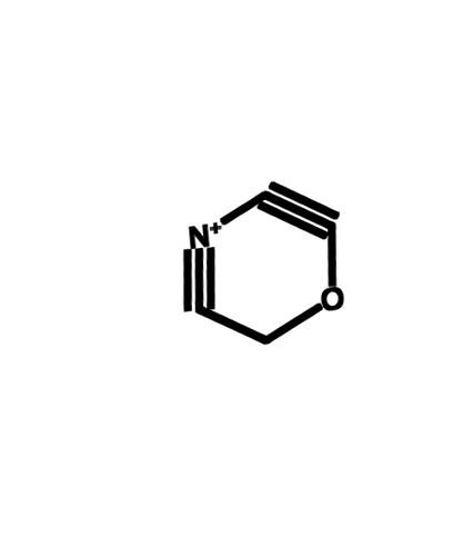 C1#COCC#[N+]1